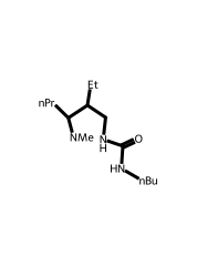 CCCCNC(=O)NCC(CC)C(CCC)NC